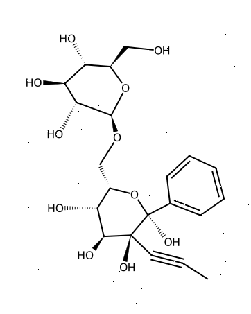 CC#C[C@]1(O)[C@@H](O)[C@H](O)[C@H](CO[C@@H]2O[C@H](CO)[C@@H](O)[C@H](O)[C@H]2O)O[C@@]1(O)c1ccccc1